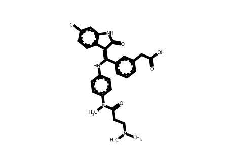 CN(C)CCC(=O)N(C)c1ccc(NC(=C2C(=O)Nc3cc(Cl)ccc32)c2cccc(CC(=O)O)c2)cc1